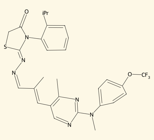 CC(/C=N\N=C1/SCC(=O)N1c1ccccc1C(C)C)=C\c1cnc(N(C)c2ccc(OC(F)(F)F)cc2)nc1C